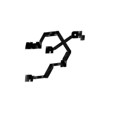 CN/C=C\C(C)(/C=N\C=C\C(C)C)C(C)C